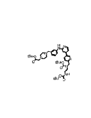 CC(C)(C)OC(=O)CN1CCN(Cc2cccc(Nc3cc(-c4ccc(CN(CCNC(=O)OC(C)(C)C)C(=O)OC(C)(C)C)nc4)ccn3)c2)CC1